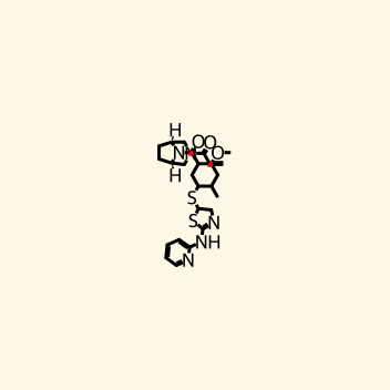 C=CC(=O)N1C[C@H]2CC[C@@H](C1)N2C(=O)C1CC(SC2CN=C(Nc3ccccn3)S2)C(C)CC1OC